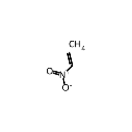 C.C=C[N+](=O)[O-]